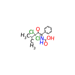 CC(C)C(Cl)(Cl)C(=O)[C@@H](NC(=O)O)c1ccccc1